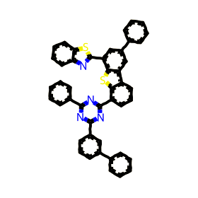 c1ccc(-c2cccc(-c3nc(-c4ccccc4)nc(-c4cccc5c4sc4c(-c6nc7ccccc7s6)cc(-c6ccccc6)cc45)n3)c2)cc1